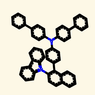 c1ccc(-c2ccc(N(c3ccc(-c4ccccc4)cc3)c3ccc(-c4c(-n5c6ccccc6c6ccccc65)ccc5ccccc45)cc3)cc2)cc1